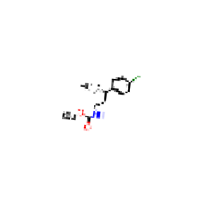 CC(C)(C)OC(=O)NCCC(C(=O)O)c1ccc(F)cc1